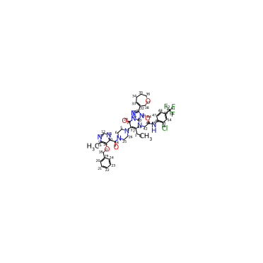 CCc1c(N2CCN(C(=O)c3ncnc(C)c3OCc3ccccc3)CC2)c(=O)n2nc(C3=CCCCOC3)nc2n1CC(=O)Nc1ccc(C(F)(F)F)cc1Cl